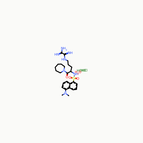 CN(C)c1cccc2c(S(=O)(=O)NC(CCCNC(=N)C(=N)N)C(=O)N3CCCCCC3)cccc12.Cl.Cl.Cl.O